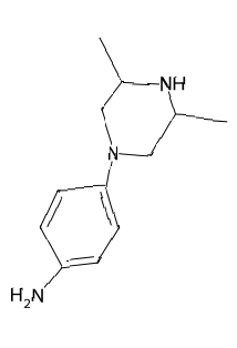 CC1CN(c2ccc(N)cc2)CC(C)N1